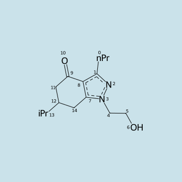 CCCc1nn(CCO)c2c1C(=O)CC(C(C)C)C2